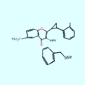 CCCc1c(C2CC2c2ccccc2C)oc2ccc(C(=O)O)cc2c1=O.CNCc1ccccc1